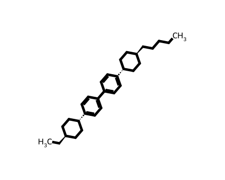 CCCCC[C@H]1CC[C@H](c2ccc(-c3ccc([C@H]4CC[C@H](CC)CC4)cc3)cc2)CC1